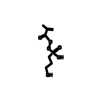 C=C(C)C(=O)OOP(=O)(O)CCCO